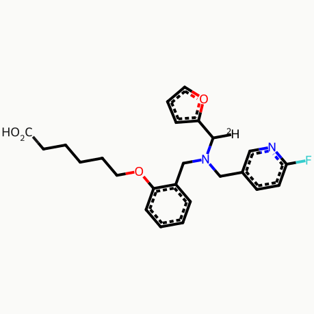 [2H]C(c1ccco1)N(Cc1ccc(F)nc1)Cc1ccccc1OCCCCCC(=O)O